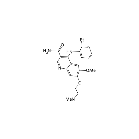 CCc1ccccc1Nc1c(C(N)=O)cnc2cc(OCCNC)c(OC)cc12